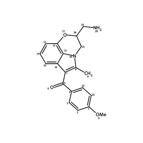 COc1ccc(C(=O)c2c(C)n3c4c(cccc24)OC(CN)C3)cc1